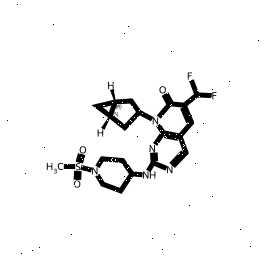 CS(=O)(=O)N1CCC(Nc2ncc3cc(C(F)F)c(=O)n(C4C[C@@H]5C[C@@H]5C4)c3n2)CC1